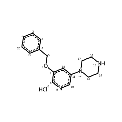 Cl.c1ccc(COc2cncc(N3CCNCC3)c2)cc1